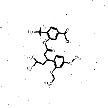 CCOc1cc(OC)ccc1C(CC(=O)Nc1cc(C(=O)O)ccc1C(C)(C)C)CC(C)C